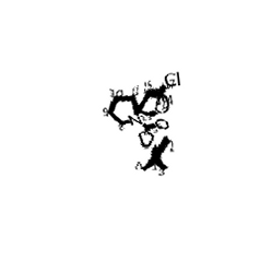 CC(C)(C)OC(=O)N1CCCCC1(C=O)CCCl